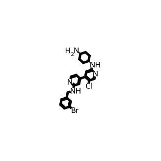 N[C@H]1CC[C@H](Nc2cc(-c3ccnc(NCc4cccc(Br)c4)c3)c(Cl)cn2)CC1